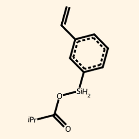 C=Cc1cccc([SiH2]OC(=O)C(C)C)c1